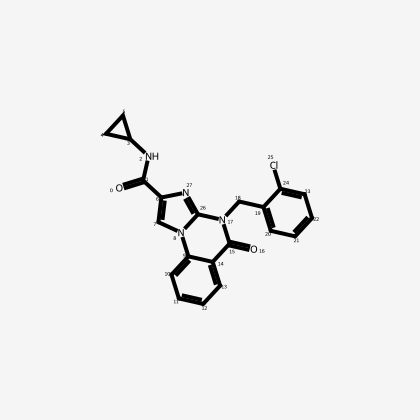 O=C(NC1CC1)c1cn2c3ccccc3c(=O)n(Cc3ccccc3Cl)c2n1